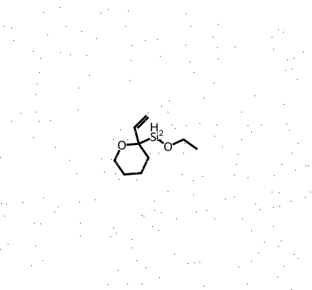 C=CC1([SiH2]OCC)CCCCO1